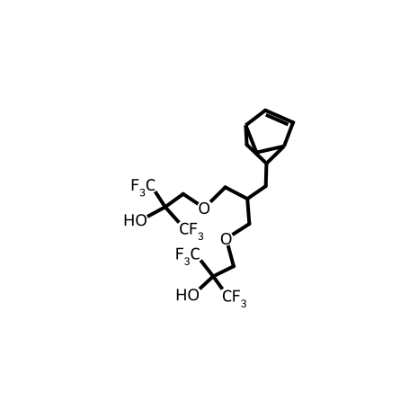 OC(COCC(COCC(O)(C(F)(F)F)C(F)(F)F)CC1CC2C=CC1C2)(C(F)(F)F)C(F)(F)F